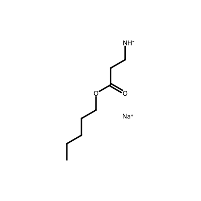 CCCCCOC(=O)CC[NH-].[Na+]